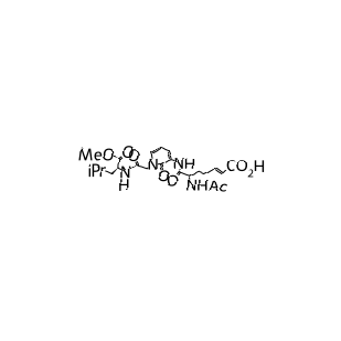 COC(=O)[C@H](CC(C)C)NC(=O)Cn1cccc(NC(=O)C(CC/C=C/C(=O)O)NC(C)=O)c1=O